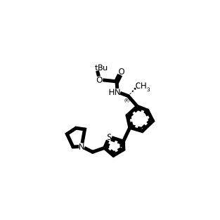 C[C@@H](NC(=O)OC(C)(C)C)c1cccc(-c2ccc(CN3CCCC3)s2)c1